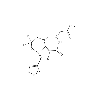 COC(=O)C[C@H]1CN2CC(F)(F)Oc3c(-c4cn[nH]c4)sc(c32)C(=O)N1